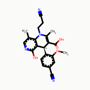 COc1cc(C#N)ccc1[C@@H]1C(C(=O)O)=C(C)N(CCC#N)c2c(C)cnc(O)c21